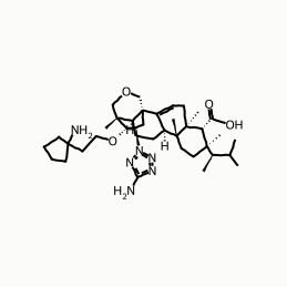 CC(C)[C@@H](C)[C@@]1(C)CC[C@]2(C)[C@H]3CC[C@@H]4[C@@]5(COC[C@@]4(C)[C@@H](OCCC4(N)CCCC4)[C@H](n4nnc(N)n4)C5)C3=CC[C@@]2(C)[C@@H]1C(=O)O